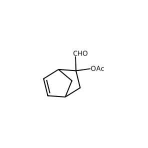 CC(=O)OC1(C=O)CC2C=CC1C2